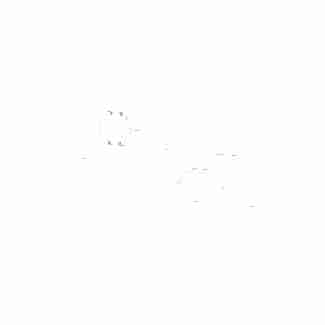 CCCCCCCCCCCCc1cccc(OPOc2cccc(CCCCCCCCCCCC)c2CCCCCCCCCCCC)c1CCCCCCCCCCCC